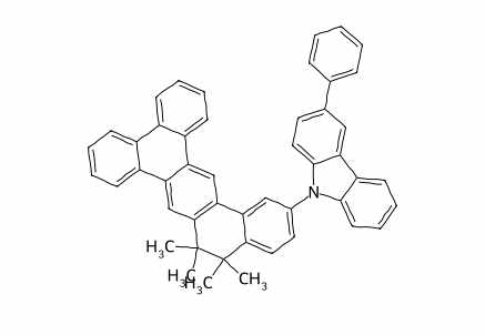 CC1(C)c2ccc(-n3c4ccccc4c4cc(-c5ccccc5)ccc43)cc2-c2cc3c4ccccc4c4ccccc4c3cc2C1(C)C